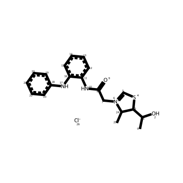 CC(O)C1SC=[N+](CC(=O)Nc2ccccc2Nc2ccccc2)C1C.[Cl-]